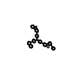 c1ccc(-c2cccc3c2oc2ccc(-c4ccc(N(c5ccc(-c6ccc7sc8ccccc8c7c6)cc5)c5ccc(-c6cccc7ccccc67)cc5)cc4)cc23)cc1